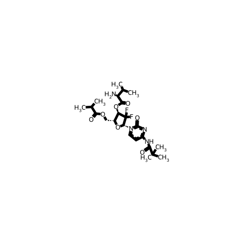 CC(C)C(=O)OC[C@H]1O[C@@H](n2ccc(NC(=O)C(C)(C)C)nc2=O)C(F)(F)[C@@H]1OC(=O)[C@@H](N)C(C)C